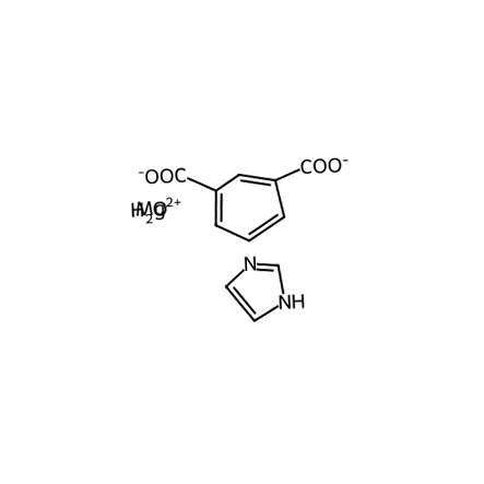 O.O=C([O-])c1cccc(C(=O)[O-])c1.[Mg+2].c1c[nH]cn1